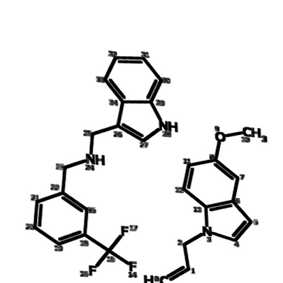 C=CCn1ccc2cc(OC)ccc21.FC(F)(F)c1cccc(CNCc2c[nH]c3ccccc23)c1